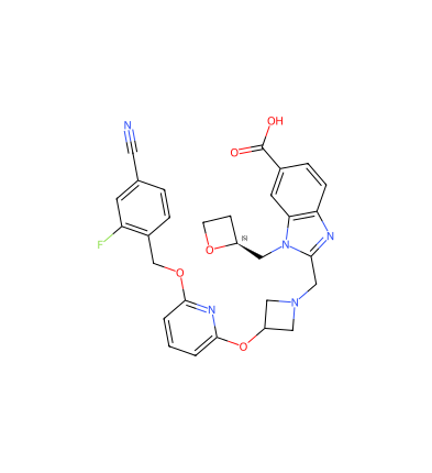 N#Cc1ccc(COc2cccc(OC3CN(Cc4nc5ccc(C(=O)O)cc5n4C[C@@H]4CCO4)C3)n2)c(F)c1